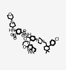 CC1(C)CCC(CN2CCN(c3ccc(C(=O)NS(=O)(=O)c4ccc(NC5CCN(C6CCOCC6)CC5)c([N+](=O)[O-])c4)c(N4CCCOc5nc6[nH]ccc6cc54)c3)CC2)=C(c2ccc(Cl)cc2)C1